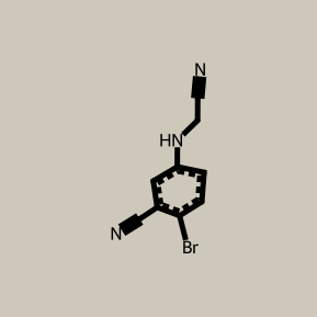 N#CCNc1ccc(Br)c(C#N)c1